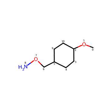 COC1CCC(CON)CC1